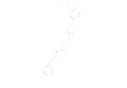 O=C(/C=C/c1cccnc1)NCCC1C2CN(c3ccnc(OC(F)F)c3)CC12